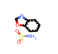 N[SH](=O)=O.c1ccc2ocnc2c1